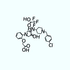 O=C(O)C(F)(F)F.O=C(O)COc1ccccc1N1C[C@H](NC2CCN(Cc3ccc(Cl)cc3)CC2)[C@@H](O)C1